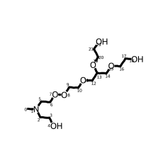 CN(CCO)CCOOCCOCC(COCCO)OCCO